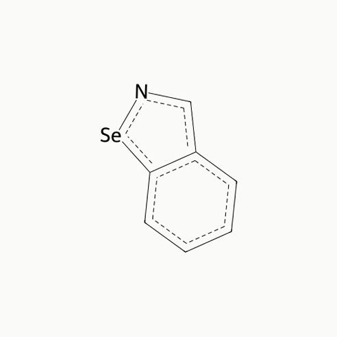 c1ccc2[se]ncc2c1